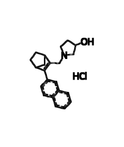 Cl.OC1CCN(CC2=C(c3ccc4ccccc4c3)C3CCC2C3)C1